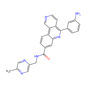 Cc1cnc(CNC(=O)c2ccc3c(c2)nc(-c2cccc(N)c2)c2ccncc23)cn1